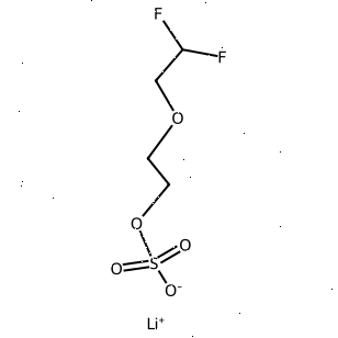 O=S(=O)([O-])OCCOCC(F)F.[Li+]